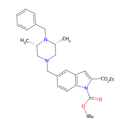 CCOC(=O)c1cc2cc(CN3C[C@@H](C)N(Cc4ccccc4)[C@@H](C)C3)ccc2n1C(=O)OC(C)(C)C